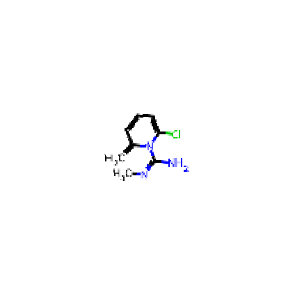 C=C1C=CC=C(Cl)N1/C(N)=N\C